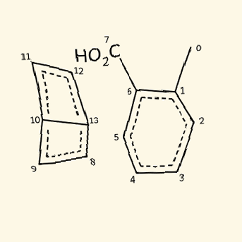 Cc1ccccc1C(=O)O.c1cc2ccc1-2